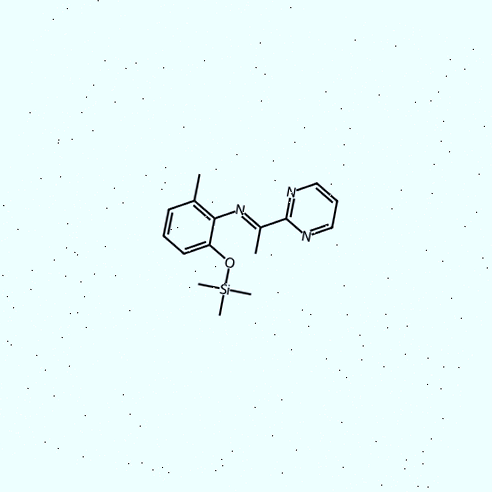 CC(=Nc1c(C)cccc1O[Si](C)(C)C)c1ncccn1